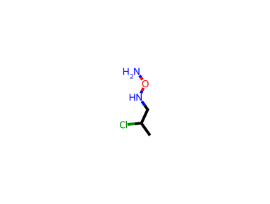 CC(Cl)CNON